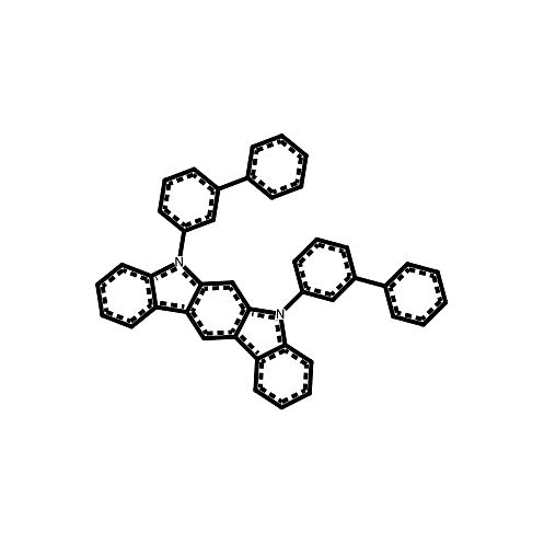 c1ccc(-c2cccc(-n3c4ccccc4c4cc5c6ccccc6n(-c6cccc(-c7ccccc7)c6)c5cc43)c2)cc1